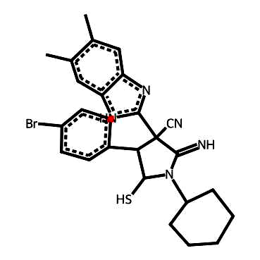 Cc1cc2nc(C3(C#N)C(=N)N(C4CCCCC4)C(S)C3c3ccc(Br)cc3)[nH]c2cc1C